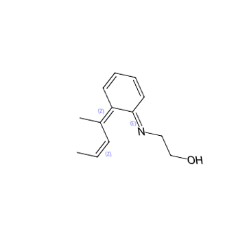 C\C=C/C(C)=C1/C=CC=C/C1=N\CCO